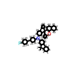 CC1(C)c2ccccc2-c2ccc(N(c3ccc(-c4ccc(F)cc4)cc3)c3ccc4c(c3)C3(c5ccccc5Oc5c3ccc3ccccc53)c3ccccc3-4)cc21